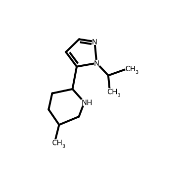 CC1CCC(c2ccnn2C(C)C)NC1